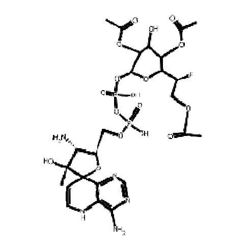 CC(=O)OC[C@H](F)C1OC(OP(=O)(O)OP(=O)(S)OC[C@H]2OC3(C=CNc4c(N)ncnc43)[C@](C)(O)[C@@H]2N)C(OC(C)=O)C(O)C1OC(C)=O